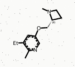 CCc1cc(OC[C@H]2CCN2C)cnc1C